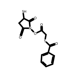 O=C(CSC(=O)c1ccccc1)ON1C(=O)CC(S)C1=O